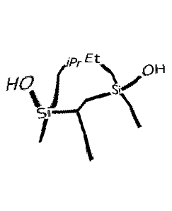 CC[Si](C)(O)C(C)[Si](C)(O)C(C)C